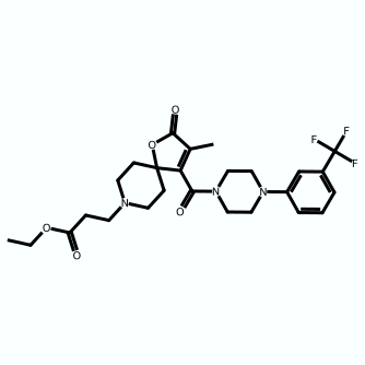 CCOC(=O)CCN1CCC2(CC1)OC(=O)C(C)=C2C(=O)N1CCN(c2cccc(C(F)(F)F)c2)CC1